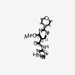 COc1nc(N2CCOCC2)ncc1C(=O)Nc1nn[nH]n1